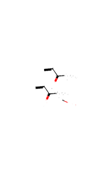 C=CC(=O)NC.C=CC(=O)NC.CO